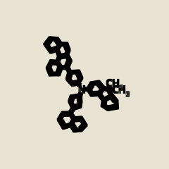 CC1(C)c2ccccc2-c2cc(N(c3ccc(-c4cccc5ccccc45)cc3)c3ccc(-c4cc5ccc6ccccc6c5c5ccccc45)cc3)ccc21